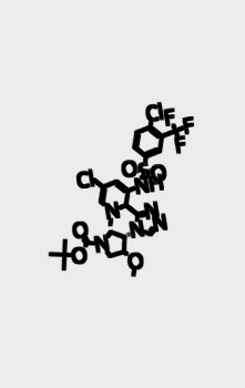 COC1CN(C(=O)OC(C)(C)C)C[C@@H]1n1cnnc1C1C(NS(=O)(=O)c2ccc(Cl)c(C(F)(F)F)c2)=CC(Cl)=CN1C